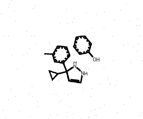 Cc1cccc(C2(C3CC3)C=CNN2)c1.Oc1ccccc1